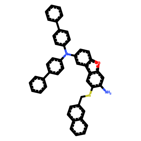 Nc1cc2oc3ccc(N(c4ccc(-c5ccccc5)cc4)c4ccc(-c5ccccc5)cc4)cc3c2cc1SCc1ccc2ccccc2c1